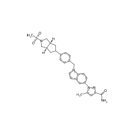 Cc1cc(C(N)=O)nn1-c1ccc2c(ccn2Cc2ccc(C3C[C@@H]4CN(S(C)(=O)=O)C[C@@H]4C3)cc2)c1